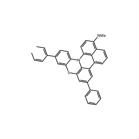 C/C=C\C(=C/C)c1ccc2c(c1)sc1cc(-c3ccccc3)cc3c1-n2c1ccc(NC)c2cccc3c21